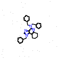 c1ccc(CN(Cc2ccccc2)c2nc3c(c4c2ncn4Cc2ccccc2)CCCC3)cc1